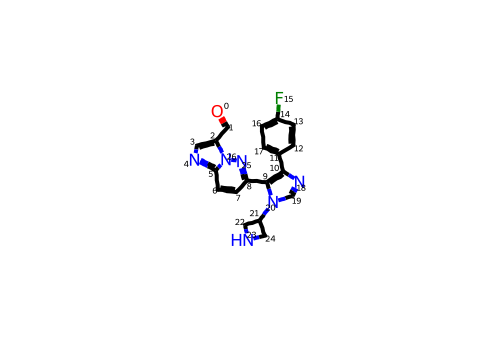 O=Cc1cnc2ccc(-c3c(-c4ccc(F)cc4)ncn3C3CNC3)nn12